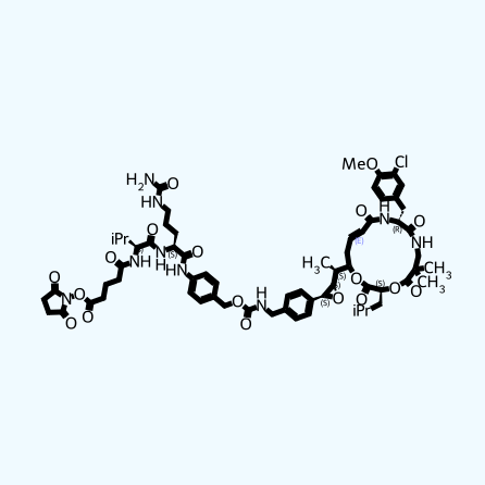 COc1ccc(C[C@H]2NC(=O)/C=C/CC([C@H](C)[C@@H]3O[C@H]3c3ccc(CNC(=O)OCc4ccc(NC(=O)[C@H](CCCNC(N)=O)NC(=O)[C@@H](NC(=O)CCCC(=O)ON5C(=O)CCC5=O)C(C)C)cc4)cc3)OC(=O)[C@H](CC(C)C)OC(=O)C(C)(C)CNC2=O)cc1Cl